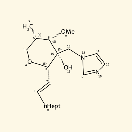 CCCCCCCC=C[C@@H]1OC[C@H](C)[C@H](OC)[C@@]1(O)Cn1ccnc1